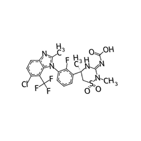 Cc1nc2ccc(Cl)c(C(F)(F)F)c2n1-c1cccc([C@]2(C)CS(=O)(=O)N(C)/C(=N/C(=O)O)N2)c1F